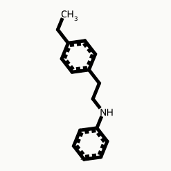 CCc1ccc(CCNc2cc[c]cc2)cc1